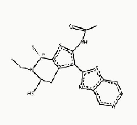 CCN1C(S)Cc2c(sc(NC(C)=O)c2-c2nc3cnccc3s2)[C@H]1C